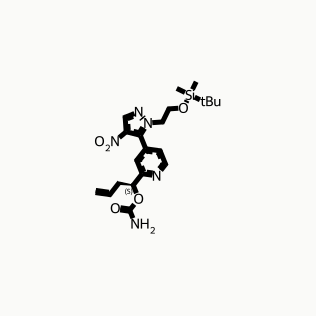 C=CC[C@H](OC(N)=O)c1cc(-c2c([N+](=O)[O-])cnn2CCO[Si](C)(C)C(C)(C)C)ccn1